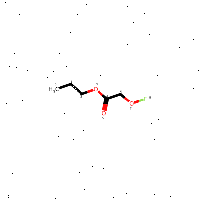 CCCOC(=O)COF